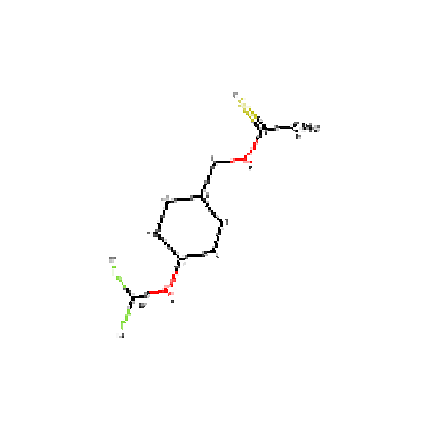 C[SH2]C(=S)OCC1CCC(OC(F)F)CC1